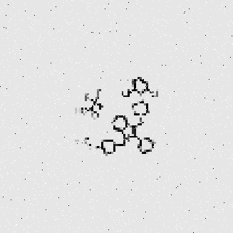 COc1ccc(Cn2c(-c3ccccc3)c(CN3CCC(c4c(Cl)cccc4Cl)CC3)c3ccccc32)cc1.O=C(O)C(F)(F)F